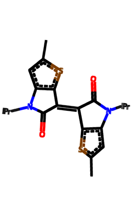 Cc1cc2c(s1)/C(=C1\C(=O)N(C(C)C)c3cc(C)sc31)C(=O)N2C(C)C